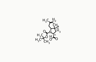 C=C(C)CC1N(C(=O)OC(C)(C)C)[C@H](C(=O)O)CC1(C)C